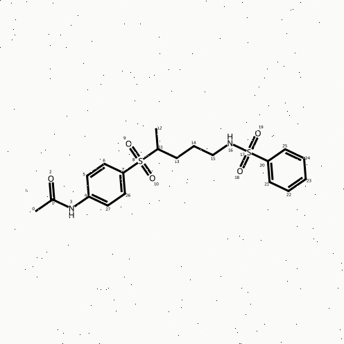 CC(=O)Nc1ccc(S(=O)(=O)C(C)CCCNS(=O)(=O)c2ccccc2)cc1